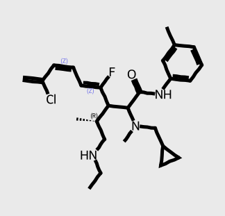 C=C(Cl)/C=C\C=C(/F)C(C(C(=O)Nc1cccc(C)c1)N(C)CC1CC1)[C@@H](C)CNCC